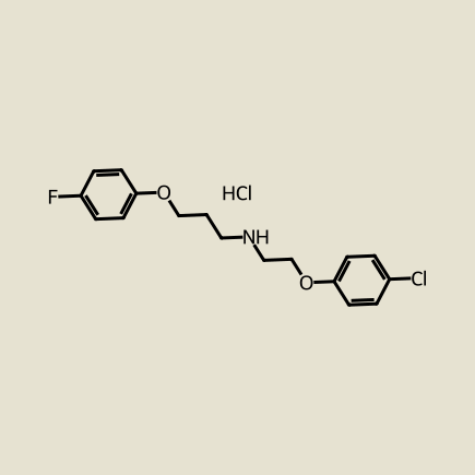 Cl.Fc1ccc(OCCCNCCOc2ccc(Cl)cc2)cc1